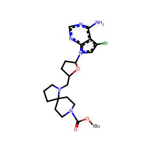 CC(C)(C)OC(=O)N1CCC2(CCCN2CC2CCC(n3cc(Br)c4c(N)ncnc43)O2)CC1